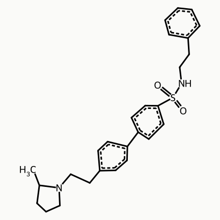 CC1CCCN1CCc1ccc(-c2ccc(S(=O)(=O)NCCc3ccccc3)cc2)cc1